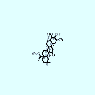 COC(=O)[C@]12CCC(C)(C)C[C@H]1[C@H]1C(=O)C=C3[C@@]4(C)CC(C#N)=C(O)[C@](C)(O)[C@@H]4CC[C@@]3(C)[C@]1(C)CC2